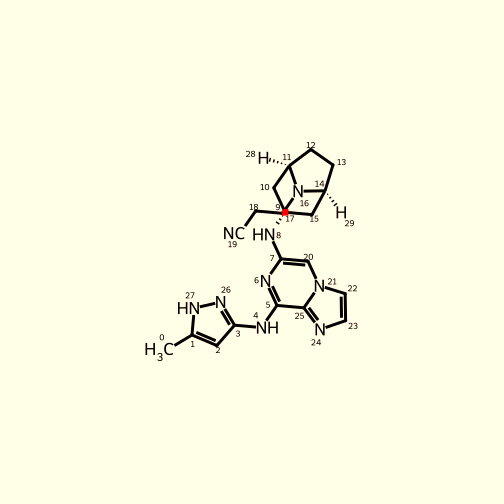 Cc1cc(Nc2nc(N[C@@H]3C[C@H]4CC[C@@H](C3)N4CCC#N)cn3ccnc23)n[nH]1